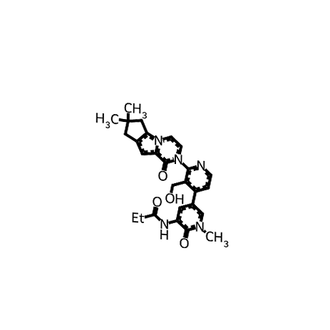 CCC(=O)Nc1cc(-c2ccnc(-n3ccn4c5c(cc4c3=O)CC(C)(C)C5)c2CO)cn(C)c1=O